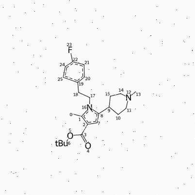 Cc1c(C(=O)OC(C)(C)C)cc(C2CCN(C)CC2)n1CCc1ccc(F)cc1